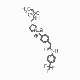 C=CS(=O)(=O)NC[C@H]1CCN(S(=O)(=O)c2ccc(CC(=O)Nc3ccc(C(F)(F)F)cc3)cc2)C1